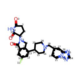 O=C1CCC(N2Cc3c(cc(F)cc3C3CCN(Cc4ccn5ncnc5c4)CC3)C2=O)C(=O)N1